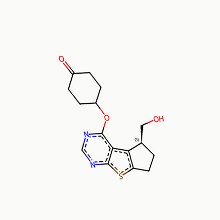 O=C1CCC(Oc2ncnc3sc4c(c23)[C@@H](CO)CC4)CC1